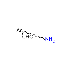 CC(=O)C(CC=O)CCCCCCCCCCN